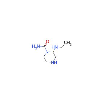 CCNC1CNCCN1C(N)=O